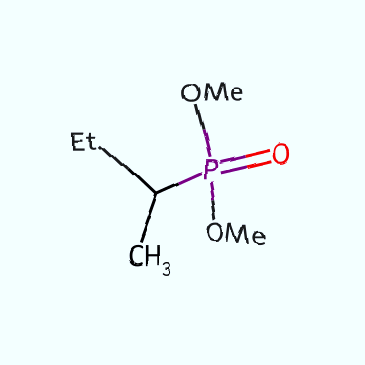 CCC(C)P(=O)(OC)OC